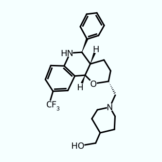 OCC1CCN(C[C@H]2CC[C@@H]3[C@H](O2)c2cc(C(F)(F)F)ccc2N[C@H]3c2ccccc2)CC1